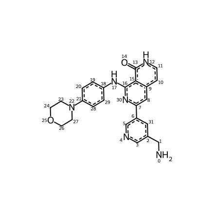 NCc1cncc(-c2cc3cc[nH]c(=O)c3c(Nc3ccc(N4CCOCC4)cc3)n2)c1